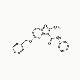 Cc1oc2ccc(OCc3ccccc3)cc2c1C(=O)Nc1ccccc1